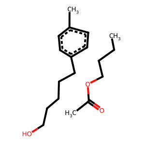 CCCCOC(C)=O.Cc1ccc(CCCCCO)cc1